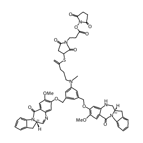 C=C(CCCN(C)c1cc(COc2cc3c(cc2OC)C(=O)N2c4ccccc4C[C@H]2C=N3)cc(COc2cc3c(cc2OC)C(=O)N2c4ccccc4C[C@H]2CN3)c1)SC1CC(=O)N(CCC(=O)ON2C(=O)CCC2=O)C1=O